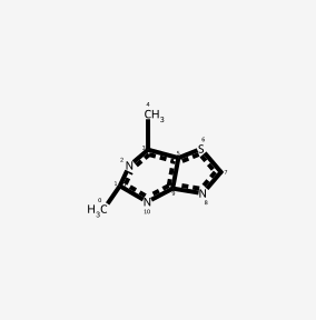 Cc1nc(C)c2scnc2n1